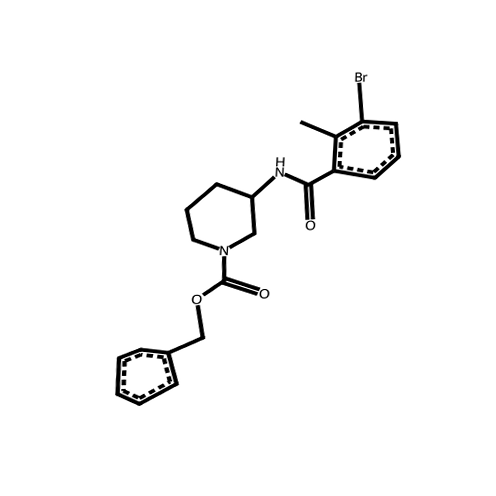 Cc1c(Br)cccc1C(=O)NC1CCCN(C(=O)OCc2ccccc2)C1